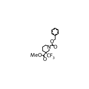 COC(=O)C1(C(F)(F)F)CCCN(C(=O)OCc2ccccc2)C1